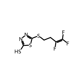 FC(F)=C(F)CCSc1nnc(S)s1